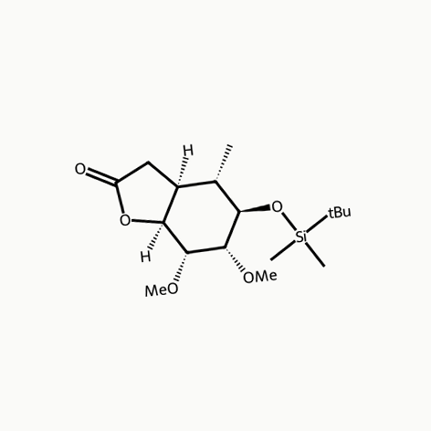 CO[C@@H]1[C@H](OC)[C@H]2OC(=O)C[C@H]2[C@H](C)[C@H]1O[Si](C)(C)C(C)(C)C